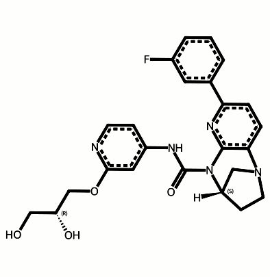 O=C(Nc1ccnc(OC[C@H](O)CO)c1)N1c2nc(-c3cccc(F)c3)ccc2N2CC[C@H]1C2